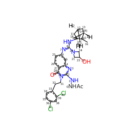 CC(=O)NNc1nc2cc(N=C(N[C@H]3C[C@H]4C[C@H]([C@H]3C)C4(C)C)N3CC(O)C3)ccc2c(=O)n1CCc1ccc(Cl)cc1Cl